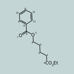 CCOC(=O)CCCCOC(=O)c1ccccc1